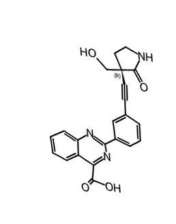 O=C(O)c1nc(-c2cccc(C#C[C@@]3(CO)CCNC3=O)c2)nc2ccccc12